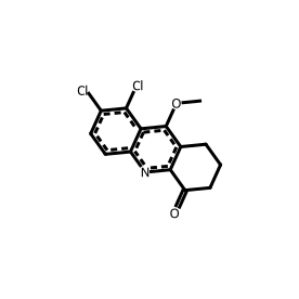 COc1c2c(nc3ccc(Cl)c(Cl)c13)C(=O)CCC2